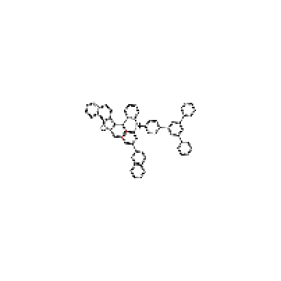 c1ccc(-c2cc(-c3ccccc3)cc(-c3ccc(N(c4cccc(-c5ccc6ccccc6c5)c4)c4ccccc4-c4cccc5oc6c7ccccc7ccc6c45)cc3)c2)cc1